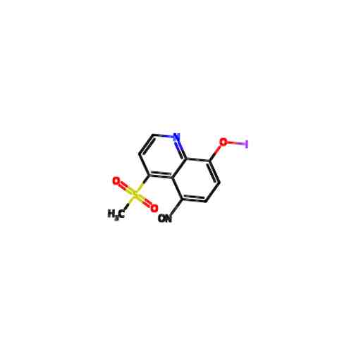 CS(=O)(=O)c1ccnc2c(OI)ccc(N=O)c12